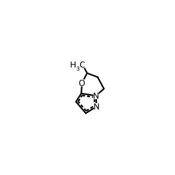 CC1CCn2nccc2O1